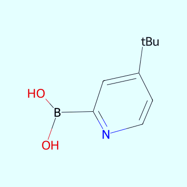 CC(C)(C)c1ccnc(B(O)O)c1